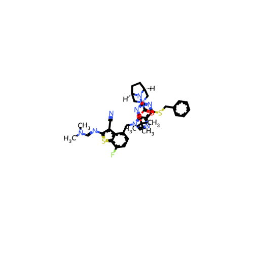 CN(C)/C=N/c1sc2c(F)ccc(Cn3cnc4c(SCc5ccccc5)nc(N5[C@@H]6CC[C@H]5CN(C(=O)OC(C)(C)C)C6)nc43)c2c1C#N